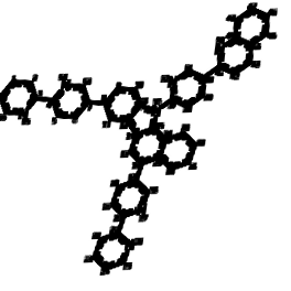 c1ccc(-c2ccc(-c3ccc4c(c3)c3cc(-c5ccc(-c6ccccn6)nc5)c5ccccc5c3n4-c3ccc(-c4ccc5ccccc5n4)cn3)cn2)nc1